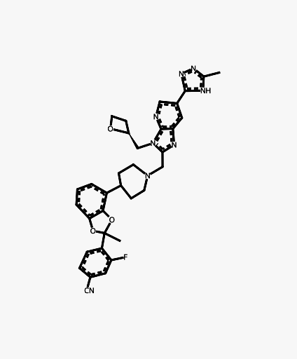 Cc1nnc(-c2cnc3c(c2)nc(CN2CCC(c4cccc5c4OC(C)(c4ccc(C#N)cc4F)O5)CC2)n3C[C@@H]2CCO2)[nH]1